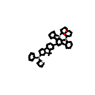 CC1(C)c2cc(-c3cc4c5ccccc5n(-c5ccccc5)c4c4c3c3ccccc3n4-c3ccccc3)ccc2-c2ccc(N(c3ccccc3)c3ccccc3)cc21